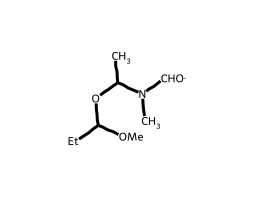 CCC(OC)OC(C)N(C)[C]=O